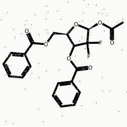 CC(=O)O[C@@H]1O[C@H](COC(=O)c2ccccc2)C(OC(=O)c2ccccc2)C1(F)F